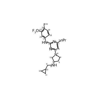 CCCc1cc(N2CCC(NCC3CC3)C2)nc(Nc2ccc(F)c(C(F)(F)F)c2)n1